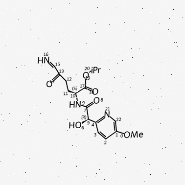 COc1ccc([C@@H](O)C(=O)N[C@@H](CCC(=O)C=N)C(=O)OC(C)C)nc1